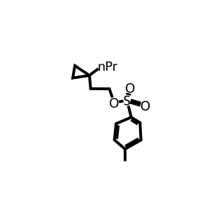 CCCC1(CCOS(=O)(=O)c2ccc(C)cc2)CC1